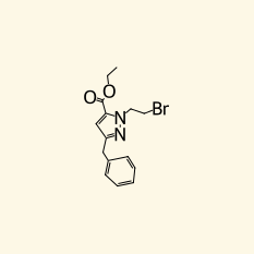 CCOC(=O)c1cc(Cc2ccccc2)nn1CCBr